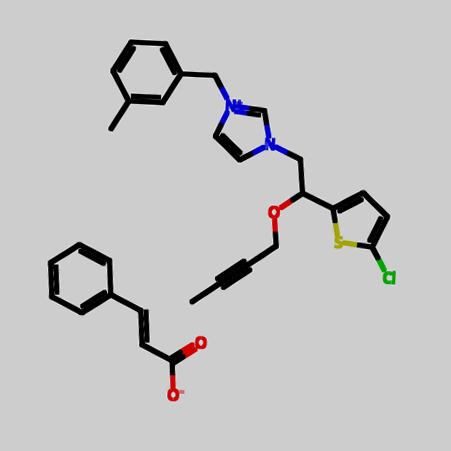 CC#CCOC(Cn1cc[n+](Cc2cccc(C)c2)c1)c1ccc(Cl)s1.O=C([O-])C=Cc1ccccc1